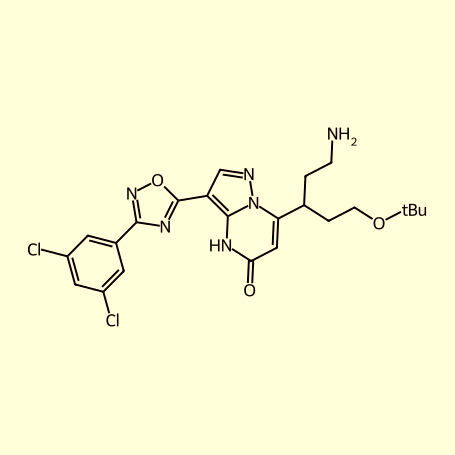 CC(C)(C)OCCC(CCN)c1cc(=O)[nH]c2c(-c3nc(-c4cc(Cl)cc(Cl)c4)no3)cnn12